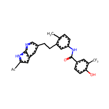 CC(=O)c1cc2cc(CCc3cc(NC(=O)c4ccc(O)c(C(F)(F)F)c4)ccc3C)cnc2[nH]1